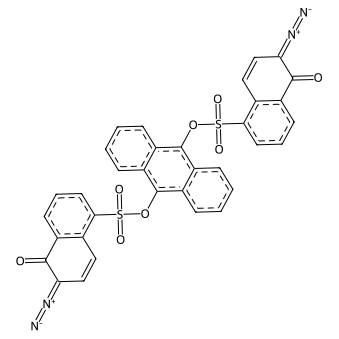 [N-]=[N+]=C1C=Cc2c(cccc2S(=O)(=O)Oc2c3ccccc3c(OS(=O)(=O)c3cccc4c3C=CC(=[N+]=[N-])C4=O)c3ccccc23)C1=O